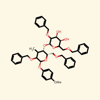 COc1ccc(O[C@@H]2O[C@@H](COCc3ccccc3)[C@@H](O[C@@H]3OC(COCc4ccccc4)[C@H](O)[C@H](O)C3OCc3ccccc3)C(C)C2OCc2ccccc2)cc1